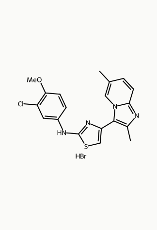 Br.COc1ccc(Nc2nc(-c3c(C)nc4ccc(C)cn34)cs2)cc1Cl